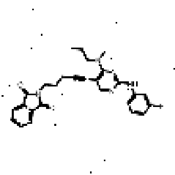 CCCN(C)c1nc(Nc2cccc(F)c2)ncc1C#CCCCN1C(=O)c2ccccc2C1=O